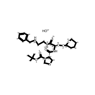 CC(C)(C)OC(=O)N1CSC[C@H]1C(=O)N[C@H](CCC1CCCCC1)C(=S)NCCNCc1ccccc1.Cl